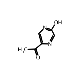 CC(=O)c1cnc(O)cn1